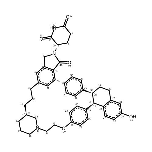 O=C1CC[C@H](N2Cc3cc(CCC[C@@H]4CCCN(CCOc5ccc([C@@H]6c7ccc(O)cc7CC[C@@H]6c6ccccc6)cc5)C4)ccc3C2=O)C(=O)N1